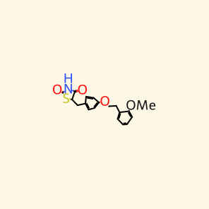 COc1ccccc1CCOc1ccc(CC2SC(=O)NC2=O)cc1